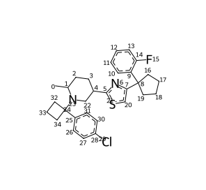 CC1CCC(c2nc(C3(c4ccccc4F)CCCC3)cs2)CN1C1(c2ccc(Cl)cc2)CCC1